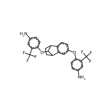 Nc1ccc(Oc2ccc3c(c2)C2CCC3C2Oc2ccc(N)cc2C(F)(F)F)c(C(F)(F)F)c1